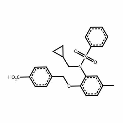 Cc1ccc(OCc2ccc(C(=O)O)cc2)c(N(CC2CC2)S(=O)(=O)c2ccccc2)c1